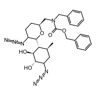 C[C@H]1CC(N=[N+]=[N-])[C@H](O)[C@@H](O)[C@@H]1C1O[C@H](CN(Cc2ccccc2)C(=O)OCc2ccccc2)CCC1N=[N+]=[N-]